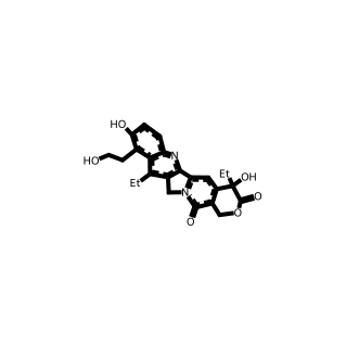 CCc1c2c(nc3ccc(O)c(CCO)c13)-c1cc3c(c(=O)n1C2)COC(=O)C3(O)CC